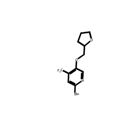 CC(C)(C)c1cc(C(F)(F)F)c(OCC2CCCO2)cn1